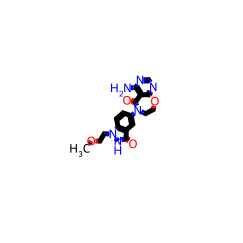 COCCn1[nH]c(=O)c2cc(N3CCOc4ncnc(N)c4C3=O)ccc21